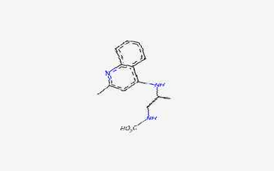 Cc1cc(NC(C)CNC(=O)O)c2ccccc2n1